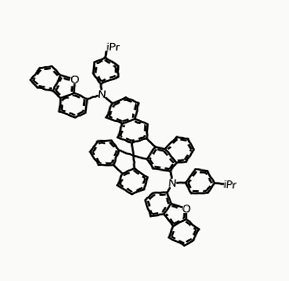 CC(C)c1ccc(N(c2ccc3cc4c(cc3c2)C2(c3ccccc3-c3ccccc32)c2cc(N(c3ccc(C(C)C)cc3)c3cccc5c3oc3ccccc35)c3ccccc3c2-4)c2cccc3c2oc2ccccc23)cc1